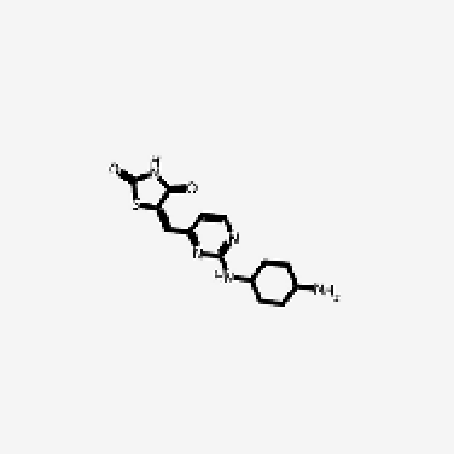 NC1CCC(Nc2nccc(C=C3SC(=O)NC3=O)n2)CC1